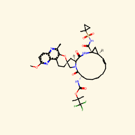 COc1ccc2nc(C)c3c(c2n1)CC[C@]1(C[C@H]2C(=O)N[C@]4(C(=O)NS(=O)(=O)C5(C)CC5)C[C@H]4/C=C\CCCCC[C@H](NC(=O)OC(C)(C)C(F)(F)F)C(=O)N2C1)O3